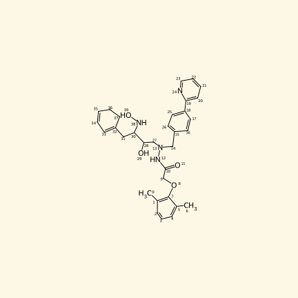 Cc1cccc(C)c1OCC(=O)NN(Cc1ccc(-c2ccccn2)cc1)CC(O)C(CC1=CC=CCC1)NO